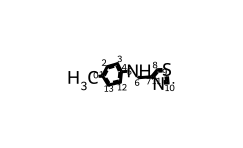 Cc1ccc(NCc2cs[c]n2)cc1